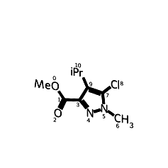 COC(=O)c1nn(C)c(Cl)c1C(C)C